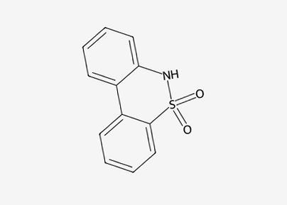 O=S1(=O)Nc2ccccc2-c2ccccc21